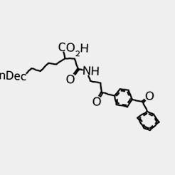 CCCCCCCCCCCCCCC(CC(=O)NCCC(=O)c1ccc(C(=O)c2ccccc2)cc1)C(=O)O